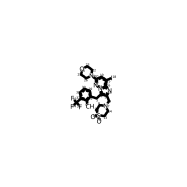 Cc1c(Cc2c(CN3CCS(=O)(=O)CC3)nc3c(I)cc(N4CCOCC4)nn23)cccc1C(F)(F)F